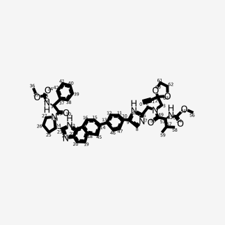 C#CC1(CN(Cc2ncc(-c3ccc(-c4ccc5c(ccc6nc([C@@H]7CCCN7C(=O)[C@H](NC(=O)OC)c7ccccc7)[nH]c65)c4)cc3)[nH]2)C(=O)[C@@H](NC(=O)OC)C(C)C)OCCO1